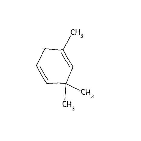 CC1=CC(C)(C)C=C[CH]1